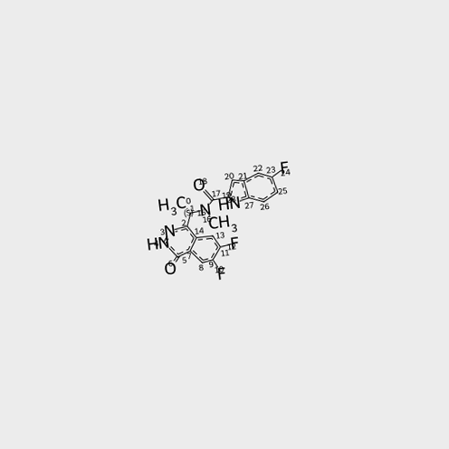 C[C@@H](c1n[nH]c(=O)c2cc(F)c(F)cc12)N(C)C(=O)c1cc2cc(F)ccc2[nH]1